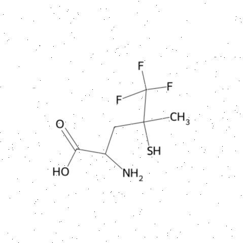 CC(S)(CC(N)C(=O)O)C(F)(F)F